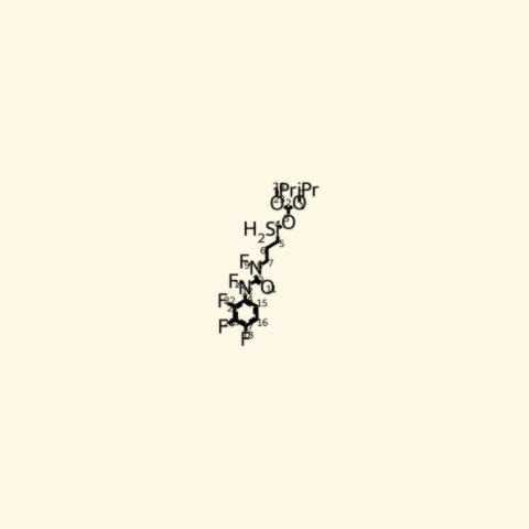 CC(C)OC(O[SiH2]CCCN(F)C(=O)N(F)c1ccc(F)c(F)c1F)OC(C)C